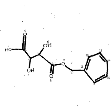 O=C(O)C(O)C(O)C(=O)OCc1ccccc1